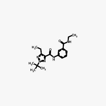 CCNC(=O)c1cccc(NC(=O)c2nn(C(C)(C)C)nc2CC)c1